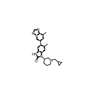 Cc1cc2c(cc1-c1cc(C)c3ncnn3c1)[nH]c(=O)n2[C@@H]1CCCN(CC2CC2)C1